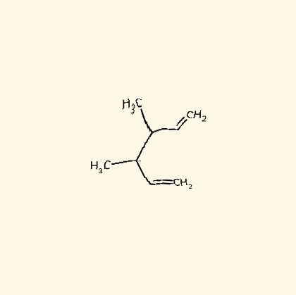 C=C[C](C)C(C)C=C